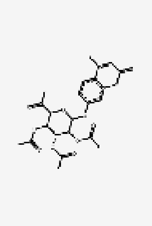 C=C1C=C(C)c2ccc(OC3OC(C(C)=O)C(OC(C)=O)[C@@H](OC(C)=O)C3OC(C)=O)cc2O1